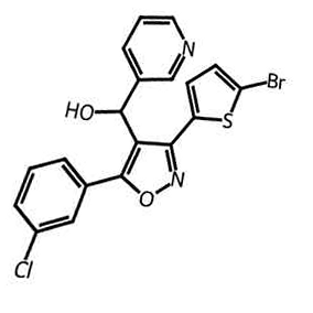 OC(c1cccnc1)c1c(-c2ccc(Br)s2)noc1-c1cccc(Cl)c1